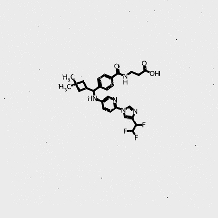 CC1(C)CC(C(Nc2ccc(-n3cnc(C(F)C(F)F)c3)nc2)c2ccc(C(=O)NCCC(=O)O)cc2)C1